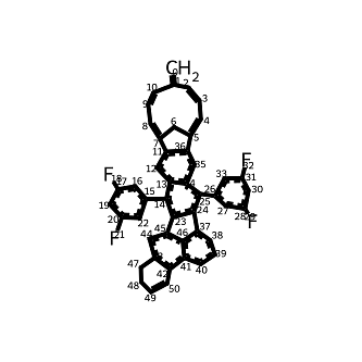 C=C1/C=C\C=C2/C/C(=C\C=C/1)c1cc3c(-c4cc(F)cc(F)c4)c4c(c(-c5cc(F)cc(F)c5)c3cc12)-c1cccc2c3c(cc-4c12)CCC=C3